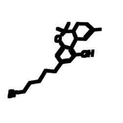 CC1=CC2c3c(O)cc(CCCCCBr)cc3OC(C)(C)C2CC1